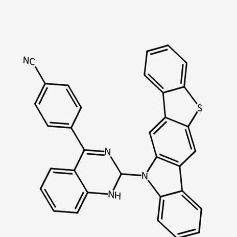 N#Cc1ccc(C2=NC(n3c4ccccc4c4cc5sc6ccccc6c5cc43)Nc3ccccc32)cc1